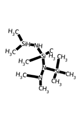 CN(C)N([Si](C)(C)C)[Si](C)(C)N[SiH](C)C